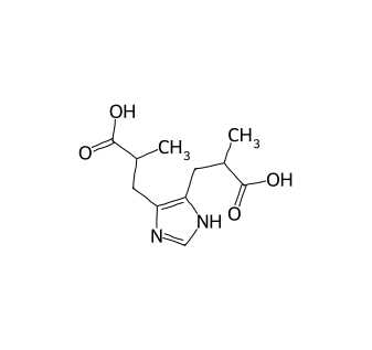 CC(Cc1nc[nH]c1CC(C)C(=O)O)C(=O)O